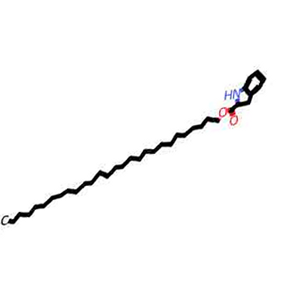 CCCCCCCCCCCCCCCCCCCCCCCCCCCCOC(=O)C1Cc2ccccc2N1